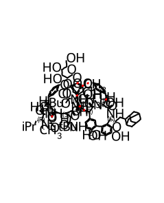 CC(C)C[C@H](C(=O)N[C@H]1C(=O)C[C@@H](CC(N)=O)C(=O)N[C@H]2C(=O)C[C@H]3C(=O)N[C@H](C(=O)N[C@H](C(=O)CC4C5CC6CC(C5)CC4C6)c4cc(O)cc(O)c4-c4cc3ccc4O)[C@H](O)c3ccc(c(Cl)c3)Oc3cc2cc(c3OC2OC(CO)C(O)C(O)C2OC2CC(C)(NC(=O)OC(C)(C)C)C(O)C(C)O2)Oc2ccc(cc2Cl)[C@H]1O)N(C)C(=O)OC(C)(C)C